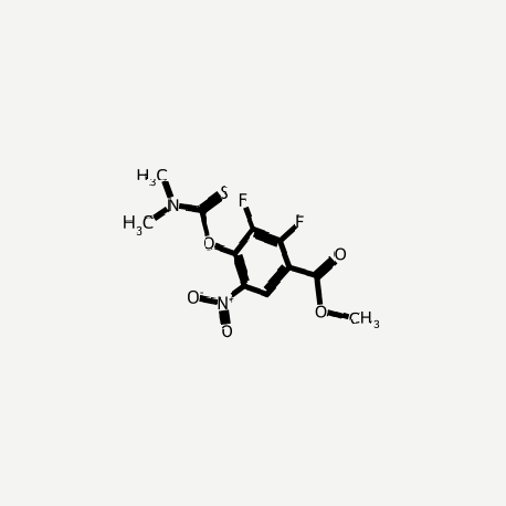 COC(=O)c1cc([N+](=O)[O-])c(OC(=S)N(C)C)c(F)c1F